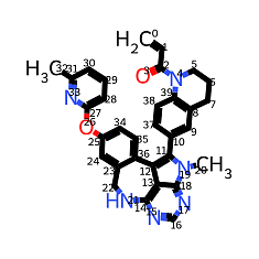 C=CC(=O)N1CCCc2cc(-c3c4c5c(ncnc5n3C)NCc3cc(Oc5cccc(C)n5)ccc3-4)ccc21